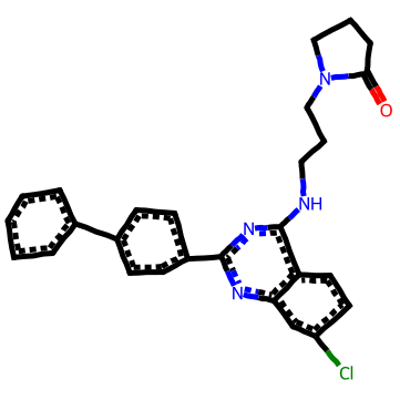 O=C1CCCN1CCCNc1nc(-c2ccc(-c3ccccc3)cc2)nc2cc(Cl)ccc12